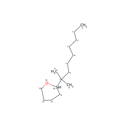 CCCCCCCC(C)(C)[SiH]1CCCCO1